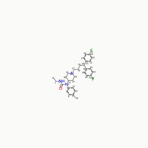 CCNC(=O)N(c1ccc(C)cc1)C1CCN(CCCC(c2ccc(F)cc2)c2ccc(F)cc2)CC1